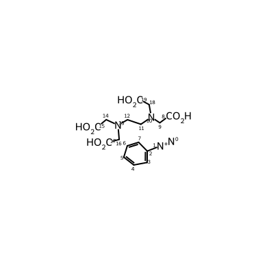 N#[N+]c1ccccc1.O=C(O)CN(CCN(CC(=O)O)CC(=O)O)CC(=O)O